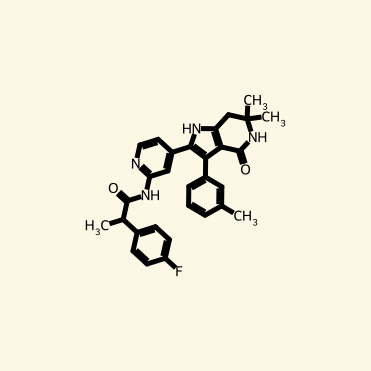 Cc1cccc(-c2c(-c3ccnc(NC(=O)C(C)c4ccc(F)cc4)c3)[nH]c3c2C(=O)NC(C)(C)C3)c1